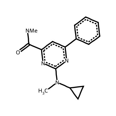 CNC(=O)c1cc(-c2ccccc2)nc(N(C)C2CC2)n1